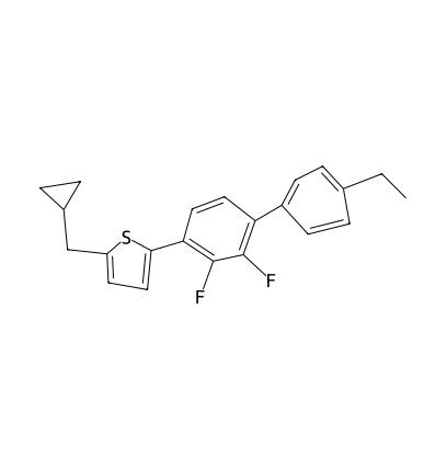 CCc1ccc(-c2ccc(-c3ccc(CC4CC4)s3)c(F)c2F)cc1